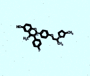 CC1=C(c2ccc(F)cc2)[C@H](c2ccc(OCC(C)N3CCC(C)C3)cc2)Oc2ccc(O)cc21